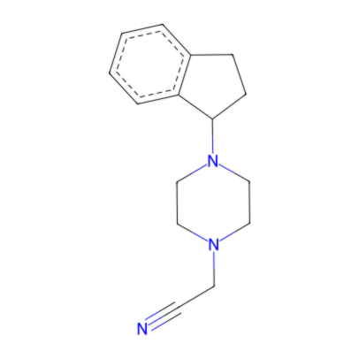 N#CCN1CCN(C2CCc3ccccc32)CC1